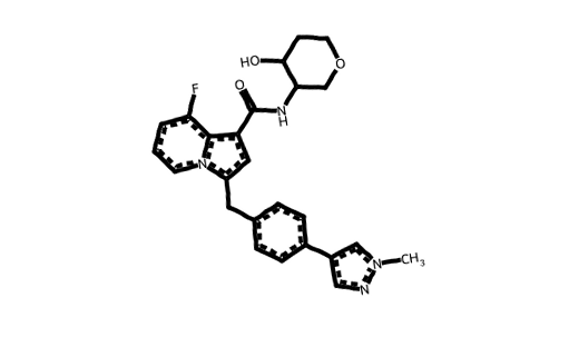 Cn1cc(-c2ccc(Cc3cc(C(=O)NC4COCCC4O)c4c(F)cccn34)cc2)cn1